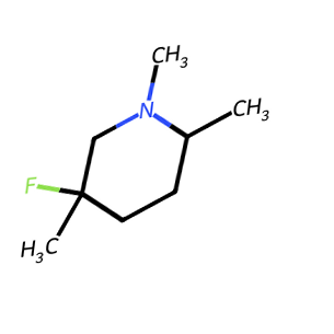 CC1CCC(C)(F)CN1C